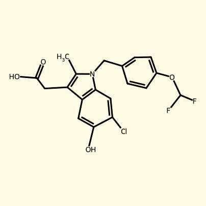 Cc1c(CC(=O)O)c2cc(O)c(Cl)cc2n1Cc1ccc(OC(F)F)cc1